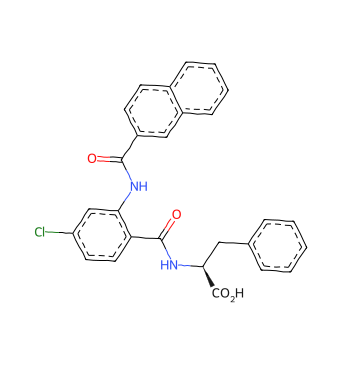 O=C(Nc1cc(Cl)ccc1C(=O)N[C@@H](Cc1ccccc1)C(=O)O)c1ccc2ccccc2c1